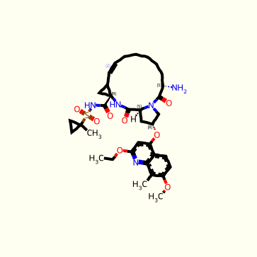 CCOc1cc(O[C@@H]2C[C@H]3C(=O)N[C@]4(C(=O)NS(=O)(=O)C5(C)CC5)CC4/C=C\CCCCC[C@H](N)C(=O)N3C2)c2ccc(OC)c(C)c2n1